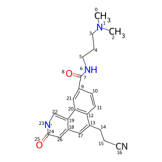 CN(C)CCCNC(=O)c1ccc2c(CCC#N)cc3c(c2c1)=C[N]C(=O)C=3